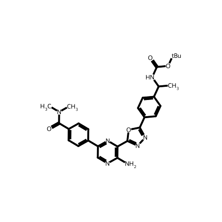 CC(NC(=O)OC(C)(C)C)c1ccc(-c2nnc(-c3nc(-c4ccc(C(=O)N(C)C)cc4)cnc3N)o2)cc1